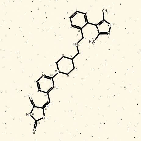 Cc1noc(C)c1-c1ccccc1CNCC1CCN(c2nccc(/C=C3/SC(=O)NC3=O)n2)CC1